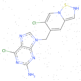 Nc1nc(Cl)c2ncn(CC3=CC4=CNSN4C=C3Cl)c2n1